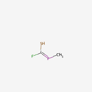 CP=C(F)S